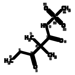 CCC(=O)C(C)(C)C(=O)NS(C)(=O)=O